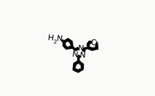 Nc1ccc(-c2nc(-c3ccccc3)nc(-c3ccccc3)n2)cc1